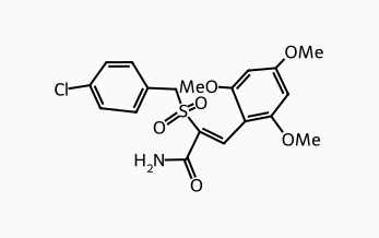 COc1cc(OC)c(/C=C(/C(N)=O)S(=O)(=O)Cc2ccc(Cl)cc2)c(OC)c1